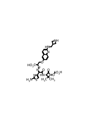 CC1(C)[C@H](NC(=O)/C(=N\OC(COc2ccc3nc(NCC4CNC4)ccc3c2)C(=O)O)c2csc(N)n2)C(=O)N1OS(=O)(=O)O